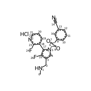 CNCc1cn(S(=O)(=O)c2cccc(C#N)c2)c(-c2cccnc2F)c1F.Cl